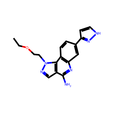 CCOCCn1ncc2c(N)nc3cc(-c4cc[nH]n4)ccc3c21